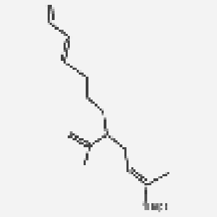 C=CC=CCCCC(CC=C(C)CCCCCCC)C(=C)C